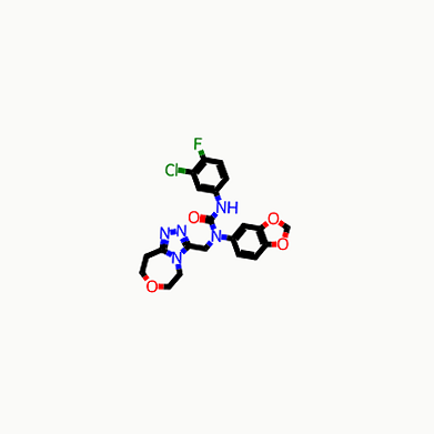 O=C(Nc1ccc(F)c(Cl)c1)N(Cc1nnc2n1CCOCC2)c1ccc2c(c1)OCO2